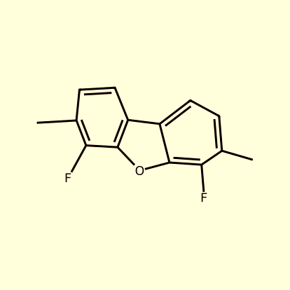 Cc1ccc2c(oc3c(F)c(C)ccc32)c1F